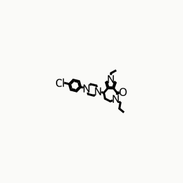 CCCN1CCC(N2CCN(c3ccc(Cl)cc3)CC2)c2cn(CC)cc2C1=O